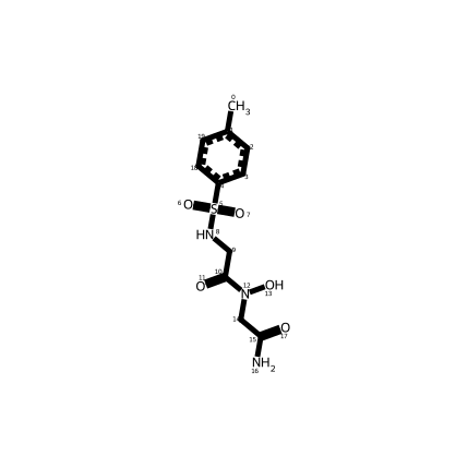 Cc1ccc(S(=O)(=O)NCC(=O)N(O)CC(N)=O)cc1